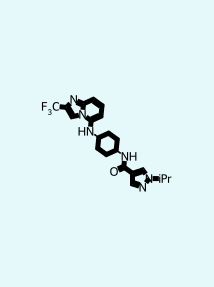 CC(C)n1cc(C(=O)N[C@H]2CC[C@@H](Nc3cccc4nc(C(F)(F)F)cn34)CC2)cn1